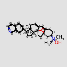 CC12CC=C3C=C4CCC([N+](C)(C)O)C[C@]45CC[C@]3(O5)[C@@H]1CCC2c1ccc2ccncc2c1